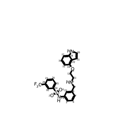 O=S(=O)(Nc1cccc(CNCCOc2cccc3[nH]ccc23)c1)c1cccc(C(F)(F)F)c1